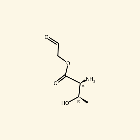 C[C@@H](O)[C@H](N)C(=O)OCC=O